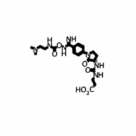 CN(C)CCNC(=O)ONC(=N)c1ccc(N2CC[C@H](NC(=O)NCCC(=O)O)C2=O)cc1